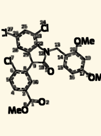 COC(=O)c1ccc(Cl)c(C2C(=O)N(Cc3ccc(OC)cc3OC)c3c(Cl)cc(Cl)cc32)c1